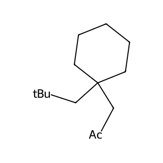 CC(=O)CC1(CC(C)(C)C)CCCCC1